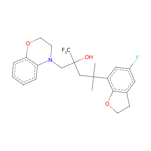 CC(C)(CC(O)(CN1CCOc2ccccc21)C(F)(F)F)c1cc(F)cc2c1OCC2